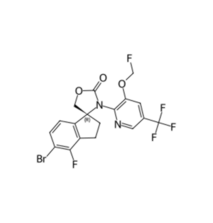 O=C1OC[C@]2(CCc3c2ccc(Br)c3F)N1c1ncc(C(F)(F)F)cc1OCF